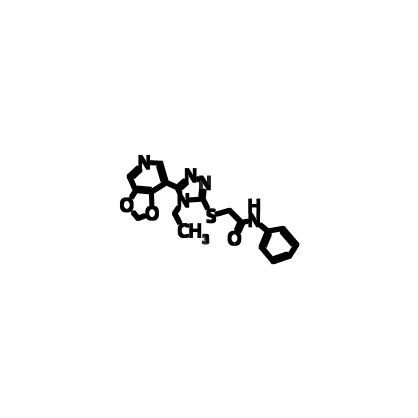 CCn1c(SCC(=O)Nc2ccccc2)nnc1-c1cncc2c1OCO2